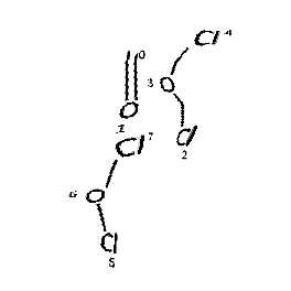 C=O.ClOCl.ClOCl